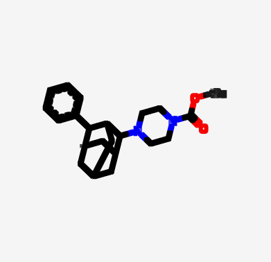 CC(C)(C)OC(=O)N1CCN(C2C3C[C]4CC(C3)CC2C4c2ccccc2)CC1